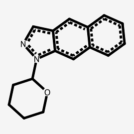 c1ccc2cc3c(cnn3C3CCCCO3)cc2c1